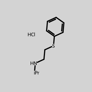 CC(C)NCCSc1ccccc1.Cl